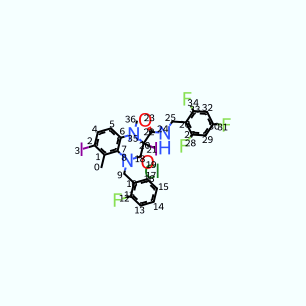 Cc1c(I)ccc2c1N(Cc1c(F)cccc1Cl)C(=O)C(I)(C(=O)NCc1c(F)cc(F)cc1F)N2C